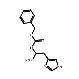 O=C(NC(Cc1c[nH]cn1)C(=O)O)OCc1ccccc1